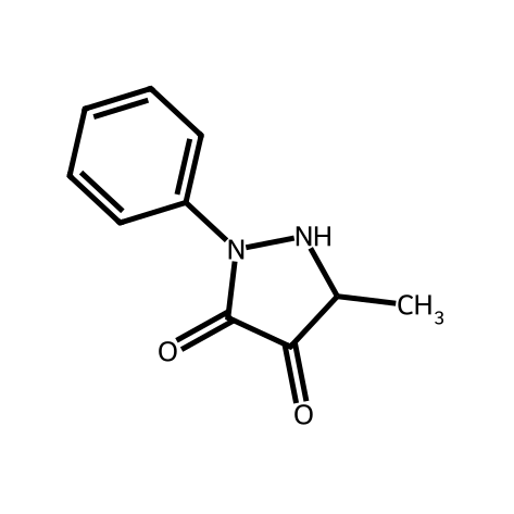 CC1NN(c2ccccc2)C(=O)C1=O